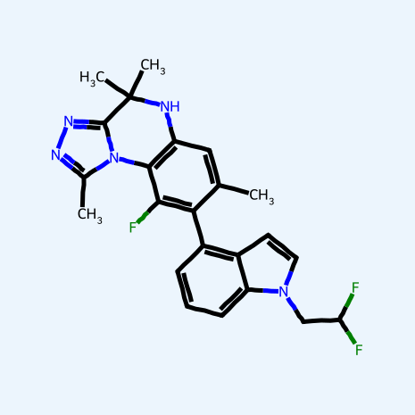 Cc1cc2c(c(F)c1-c1cccc3c1ccn3CC(F)F)-n1c(C)nnc1C(C)(C)N2